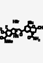 Br.CCOc1c(C(=O)NC)cc2c(c1F)CN(CC(=O)c1cc3c(c(C(C)(C)C)c1)OC(C)CN3C(N)=O)C2=N